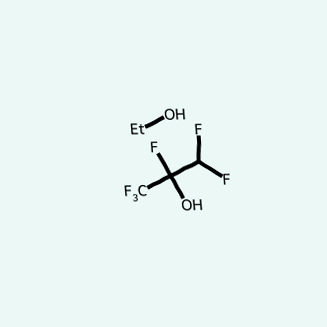 CCO.OC(F)(C(F)F)C(F)(F)F